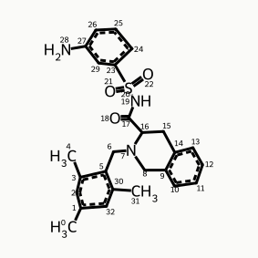 Cc1cc(C)c(CN2Cc3ccccc3CC2C(=O)NS(=O)(=O)c2cccc(N)c2)c(C)c1